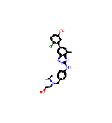 Cc1cc(-c2cc(O)ccc2Cl)cc2nnc(Nc3ccc(CN(CCO)C(C)C)cc3)nc12